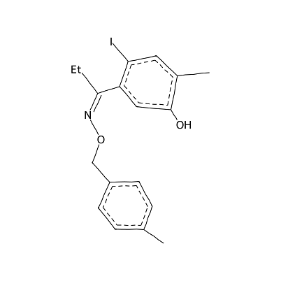 CCC(=NOCc1ccc(C)cc1)c1cc(O)c(C)cc1I